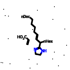 C=CC(=O)O.CCCCCCCCCCCCCCC=CC(CCCCCC)C1=NCCN1